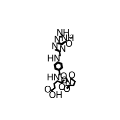 Nc1nc2ncc(CNc3ccc(C(=O)NC(CCC(=O)O)C(=O)ON4C(=O)CCC4=O)cc3)nc2c(=O)[nH]1